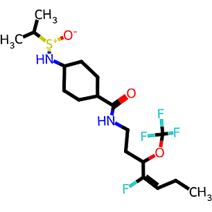 CC/C=C(/F)C(CCNC(=O)C1CCC(N[S+]([O-])C(C)C)CC1)OC(F)(F)F